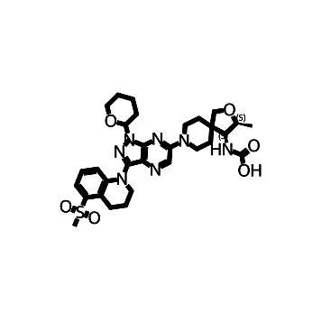 C[C@@H]1OCC2(CCN(c3cnc4c(N5CCCc6c5cccc6S(C)(=O)=O)nn(C5CCCCO5)c4n3)CC2)[C@@H]1NC(=O)O